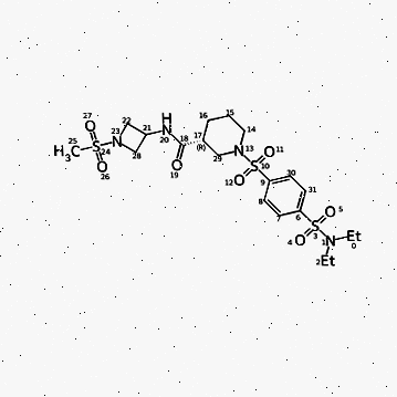 CCN(CC)S(=O)(=O)c1ccc(S(=O)(=O)N2CCC[C@@H](C(=O)NC3CN(S(C)(=O)=O)C3)C2)cc1